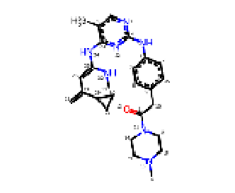 Bc1cnc(Nc2ccc(CC(=O)N3CCN(C)CC3)cc2)nc1N/C(=C/C(=C)C1CC1)NC